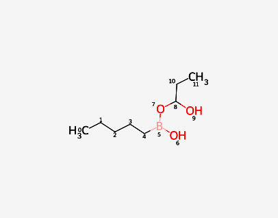 CCCCCB(O)OC(O)CC